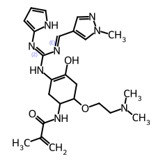 C=C(C)C(=O)NC1CC(NC(=N/c2ccc[nH]2)/N=C/c2cnn(C)c2)=C(O)CC1OCCN(C)C